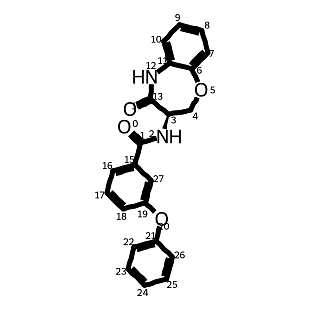 O=C(N[C@@H]1COc2ccccc2NC1=O)c1cccc(Oc2ccccc2)c1